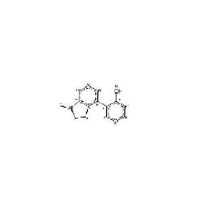 CN1CCc2c(-c3cc[c]cc3O)cccc21